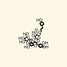 OC[C@H]1O[C@@H](Oc2cc(O)cc3[o+]c(-c4ccc(O)c(O)c4)c(O[C@@H]4O[C@H](COC/C=C/c5ccc(O)cc5)[C@@H](O)[C@H](O)[C@H]4O)cc23)[C@H](O)[C@@H](O)[C@@H]1O